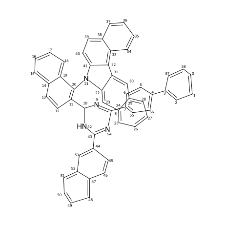 c1ccc(-c2ccc(C3=NC(c4ccc5ccccc5c4-n4c5cc6ccccc6cc5c5c6ccccc6ccc54)NC(c4ccc5ccccc5c4)=N3)cc2)cc1